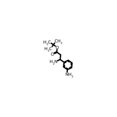 CC(C)(C)OC(=O)CC(N)c1cccc(N)c1